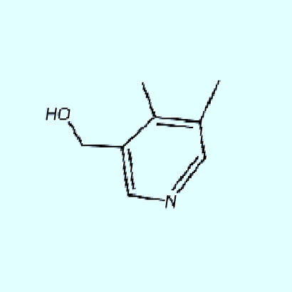 Cc1cncc(CO)c1C